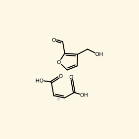 O=C(O)/C=C\C(=O)O.O=Cc1occc1CO